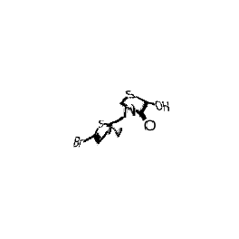 O=C1C(O)SCN1c1ncc(Br)s1